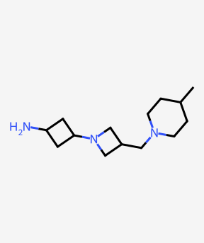 CC1CCN(CC2CN(C3CC(N)C3)C2)CC1